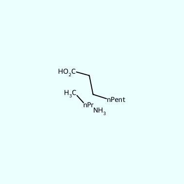 CCCC.CCCCCCCC(=O)O.N